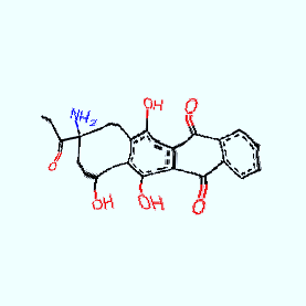 CC(=O)C1(N)Cc2c(O)c3c(c(O)c2C(O)C1)C(=O)c1ccccc1C3=O